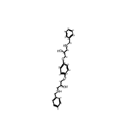 OC(CNCc1ccccc1)COc1ccc(OCC(O)CNCc2ccccc2)cc1